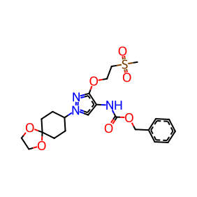 CS(=O)(=O)CCOc1nn(C2CCC3(CC2)OCCO3)cc1NC(=O)OCc1ccccc1